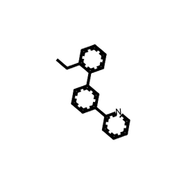 CCc1ccccc1-c1cccc(-c2ccccn2)c1